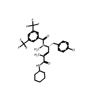 CC(=C[C@@H](Cc1ccc(Cl)cc1)N(C)C(=O)c1cc(C(F)(F)F)cc(C(F)(F)F)c1)C(=O)NC1CCCCC1